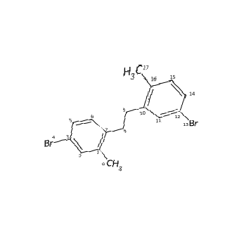 Cc1cc(Br)ccc1CCc1cc(Br)ccc1C